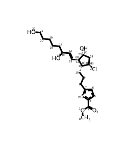 COC(=O)c1ccc(CCC[C@@H]2[C@@H](C=CC(O)CCCCCO)[C@H](O)C[C@H]2Cl)s1